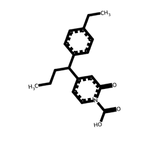 CCCC(c1ccc(CC)cc1)c1ccn(C(=O)O)c(=O)c1